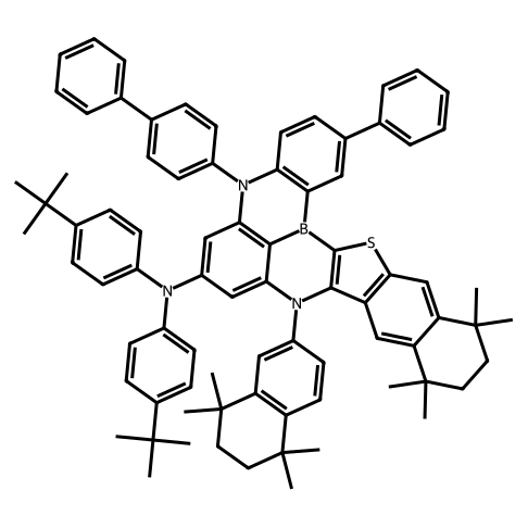 CC(C)(C)c1ccc(N(c2ccc(C(C)(C)C)cc2)c2cc3c4c(c2)N(c2ccc5c(c2)C(C)(C)CCC5(C)C)c2c(sc5cc6c(cc25)C(C)(C)CCC6(C)C)B4c2cc(-c4ccccc4)ccc2N3c2ccc(-c3ccccc3)cc2)cc1